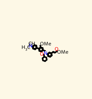 COCc1cc(CN(C(=O)C2CCCCC2)c2cccc(/C=C/C(=O)OC)c2)ccc1-c1ccc(N(C)C)cc1